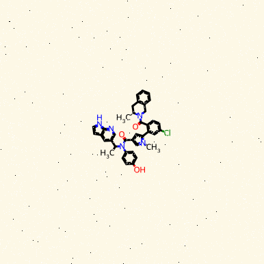 CC(c1cnc2[nH]ccc2c1)N(C(=O)c1cc(-c2cc(Cl)ccc2C(=O)N2Cc3ccccc3C[C@H]2C)n(C)c1)c1ccc(O)cc1